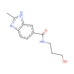 Cc1nc2ccc(C(=O)NCCCO)cc2[nH]1